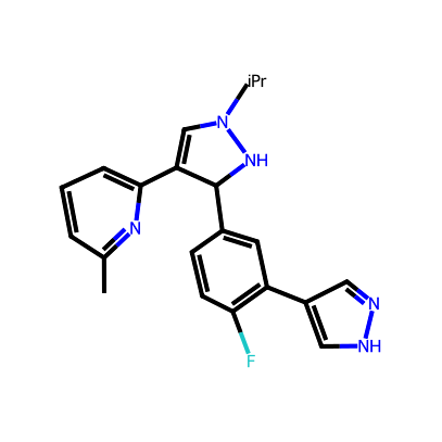 Cc1cccc(C2=CN(C(C)C)NC2c2ccc(F)c(-c3cn[nH]c3)c2)n1